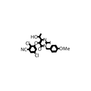 COc1ccc(Cn2c(I)nc(C(C)O)c(Oc3cc(Cl)cc(C#N)c3Cl)c2=O)cc1